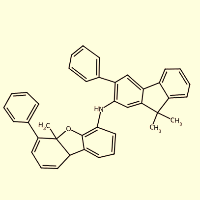 CC1(C)c2ccccc2-c2cc(-c3ccccc3)c(Nc3cccc4c3OC3(C)C(c5ccccc5)=CC=CC43)cc21